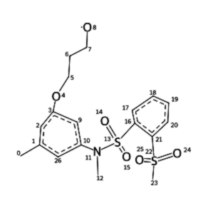 Cc1cc(OCCC[O])cc(N(C)S(=O)(=O)c2ccccc2S(C)(=O)=O)c1